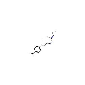 NC(=C\C=O)/N=C\CCNC1=CC=C(C=O)CC1